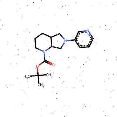 CC(C)(C)OC(=O)N1CCCC2CN(c3cccnc3)CC21